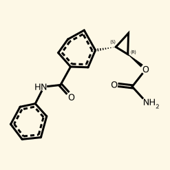 NC(=O)O[C@@H]1C[C@H]1c1cccc(C(=O)Nc2ccccc2)c1